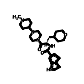 CN1CCC(N2CCN(C(=O)[C@H](CC3CCOCC3)NC(=O)c3ccc4cc[nH]c4c3)CC2)CC1